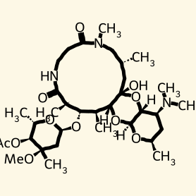 CO[C@]1(C)C[C@H](O[C@H]2[C@H](C)[C@H]3O[C@@H]4O[C@H](C)C[C@H](N(C)C)[C@H]4O[C@@]3(O)C[C@@H](C)CN(C)C(=O)CCNC(=O)[C@@H]2C)O[C@@H](C)[C@@H]1OC(C)=O